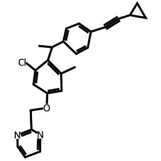 Cc1cc(OCc2ncccn2)cc(Cl)c1C(C)c1ccc(C#CC2CC2)cc1